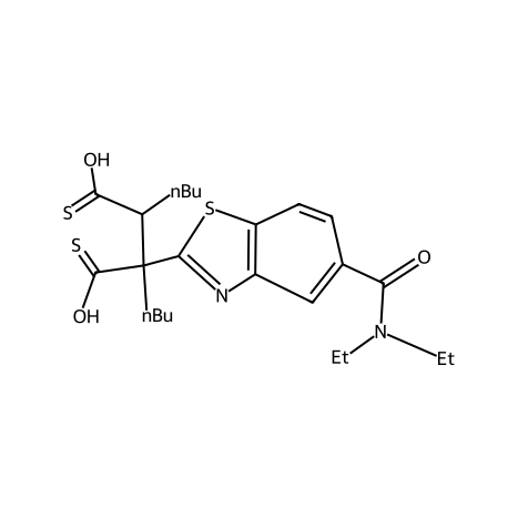 CCCCC(C(O)=S)C(CCCC)(C(O)=S)c1nc2cc(C(=O)N(CC)CC)ccc2s1